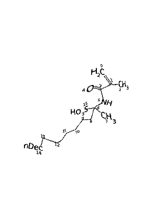 C=C(C)C(=O)NC(C)(CCCCCCCCCCCCCCCC)S(=O)(=O)O